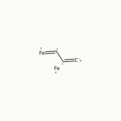 [CH-]=C[CH]=[Fe].[Fe]